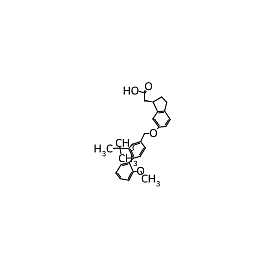 COc1ccccc1-c1ccc(COc2ccc3c(c2)[C@@H](CC(=O)O)CC3)cc1C(C)(C)C